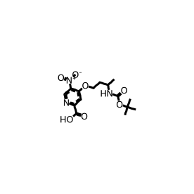 CC(CCOc1cc(C(=O)O)ncc1[N+](=O)[O-])NC(=O)OC(C)(C)C